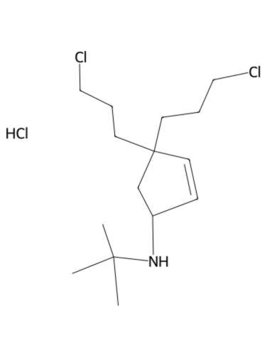 CC(C)(C)NC1C=CC(CCCCl)(CCCCl)C1.Cl